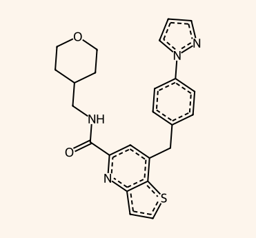 O=C(NCC1CCOCC1)c1cc(Cc2ccc(-n3cccn3)cc2)c2sccc2n1